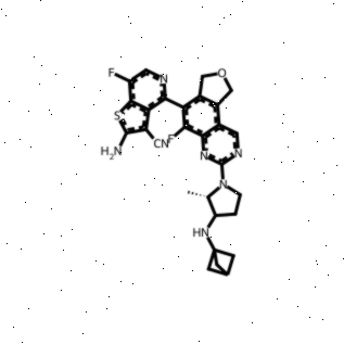 C[C@H]1C(NC23CC(C2)C3)CCN1c1ncc2c3c(c(-c4ncc(F)c5sc(N)c(C#N)c45)c(F)c2n1)COC3